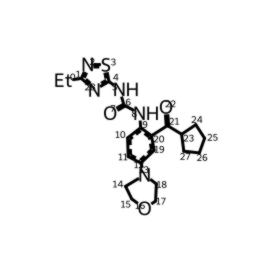 CCc1nsc(NC(=O)Nc2ccc(N3CCOCC3)cc2C(=O)C2CCCC2)n1